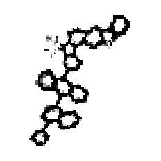 CC1(C)c2cc(-c3c4ccccc4c(-c4ccc(-c5ccccc5)c5ccccc45)c4ccccc34)ccc2-c2c1ccc1cc3c(cc21)oc1ccccc13